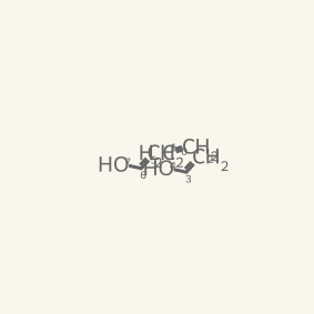 C=C.C=CO.C=CO